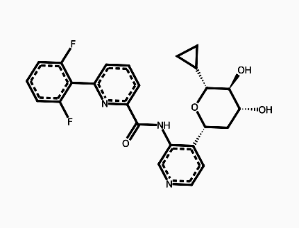 O=C(Nc1cnccc1[C@H]1C[C@@H](O)[C@H](O)[C@@H](C2CC2)O1)c1cccc(-c2c(F)cccc2F)n1